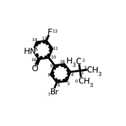 CC(C)(C)c1cc(Br)cc(-c2cc(F)c[nH]c2=O)c1